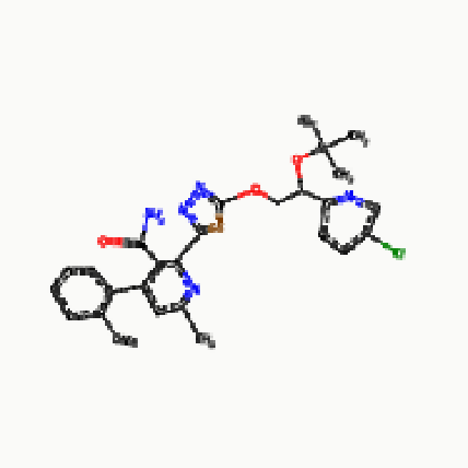 COc1ccccc1-c1cc(C)nc(-c2nnc(OCC(O[Si](C)(C)C(C)(C)C)c3ccc(Cl)cn3)s2)c1C(N)=O